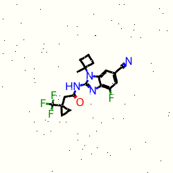 CC1(n2c(NC(=O)CC3(C(F)(F)F)CC3)nc3c(F)cc(C#N)cc32)CCC1